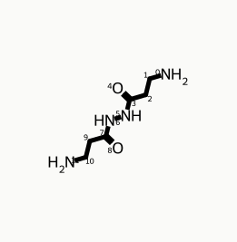 NCCC(=O)NNC(=O)CCN